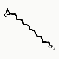 FC(F)(F)C=CCCCCCCCCCC1CO1